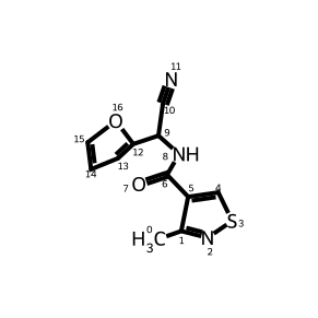 Cc1nscc1C(=O)NC(C#N)c1ccco1